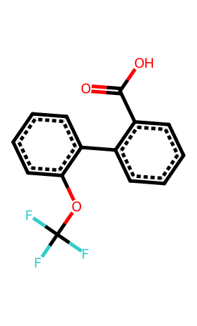 O=C(O)c1ccccc1-c1ccccc1OC(F)(F)F